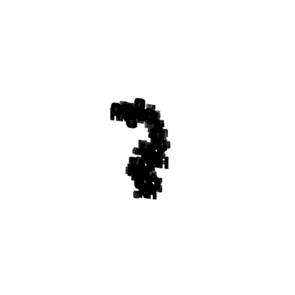 CNC(=O)c1ccccc1Nc1cc(Nc2cc(C)c(N3CCN(Cc4ccc5c(c4)CN(C4CCC(=O)NC4=O)C5=O)CC3)cc2OC(C)C)ncc1C(F)(F)F